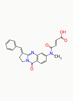 CN(C(=O)C=CC(=O)O)c1ccc2c(=O)n3c(nc2c1)C(=Cc1ccccc1)CC3